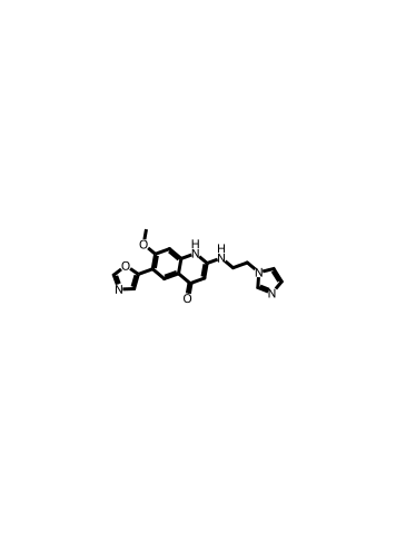 COc1cc2[nH]c(NCCn3ccnc3)cc(=O)c2cc1-c1cnco1